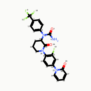 NC(=O)N(c1ccc(C(F)(F)F)cc1)C1CCCN(c2ccc(-n3ccccc3=O)cc2F)C1=O